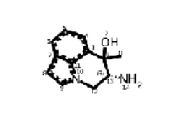 CC1(O)c2cccc3ccn(c23)C[C@H]1N